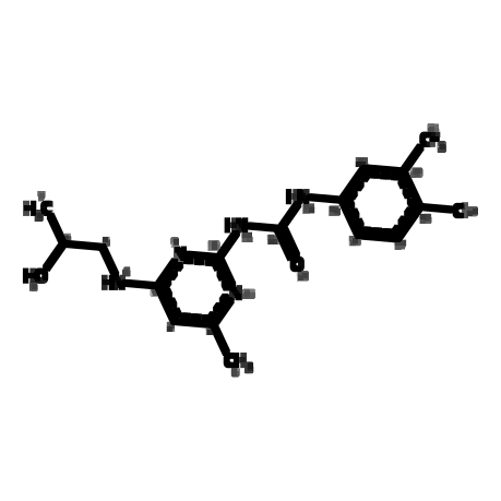 Cc1cc(NCC(C)O)nc(NC(=O)Nc2ccc(Cl)c(C(F)(F)F)c2)n1